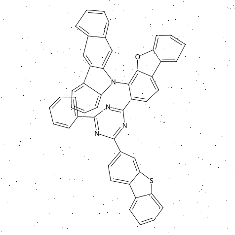 c1ccc(-c2nc(-c3ccc4c(c3)sc3ccccc34)nc(-c3ccc4c(oc5ccccc54)c3-n3c4ccccc4c4cc5ccccc5cc43)n2)cc1